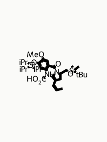 C/C=C\C1=CN(C(=O)c2cc(OC)c(O[Si](C(C)C)(C(C)C)C(C)C)cc2NC(=O)O)C(CO[Si](C)(C)C(C)(C)C)C1